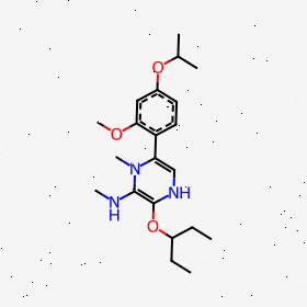 CCC(CC)OC1=C(NC)N(C)C(c2ccc(OC(C)C)cc2OC)=CN1